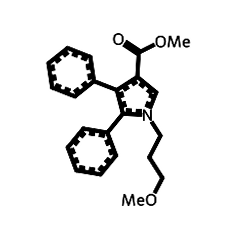 COCCCn1cc(C(=O)OC)c(-c2ccccc2)c1-c1ccccc1